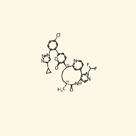 C[C@H]1CCC[C@@H](c2ccc(-c3cc(Cl)ccc3-n3cc(C4CC4)nn3)oc2=O)c2cc(ccn2)-c2c(cnn2C(F)F)NC1=O